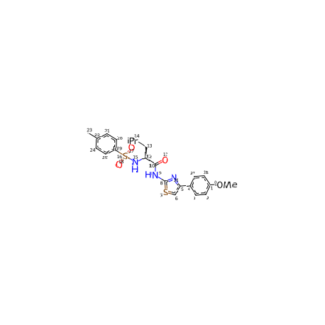 COc1ccc(-c2csc(NC(=O)[C@H](CC(C)C)NS(=O)(=O)c3ccc(C)cc3)n2)cc1